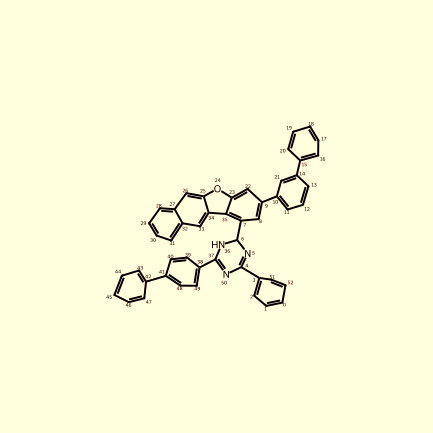 c1ccc(C2=NC(c3cc(-c4cccc(-c5ccccc5)c4)cc4oc5cc6ccccc6cc5c34)NC(c3ccc(-c4ccccc4)cc3)=N2)cc1